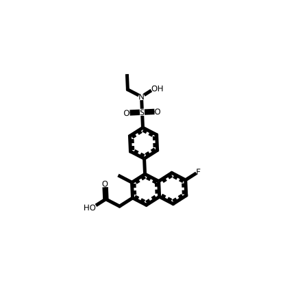 CCN(O)S(=O)(=O)c1ccc(-c2c(C)c(CC(=O)O)cc3ccc(F)cc23)cc1